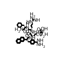 N=C(N)NCCC[C@H](NC(=O)[C@H](CCC(=O)O)NC(=O)[C@H](Cc1ccc(C(=N)N)cc1)c1ccc2ccccc2c1)C(=O)N[C@@H](CC1CCCCC1)C(N)=O.O=C(O)C(F)(F)F